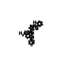 Cc1ccc2c(cnn2C2CCCCO2)c1NC(=O)c1cnc(NC(=O)c2ccccc2)s1